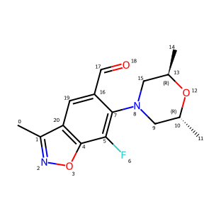 Cc1noc2c(F)c(N3C[C@@H](C)O[C@H](C)C3)c(C=O)cc12